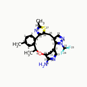 Cc1ccc2c(c1)C(C)Oc1cc(cnc1N)-c1c(cnn1C(F)F)Cc1sc(C)nc1-2